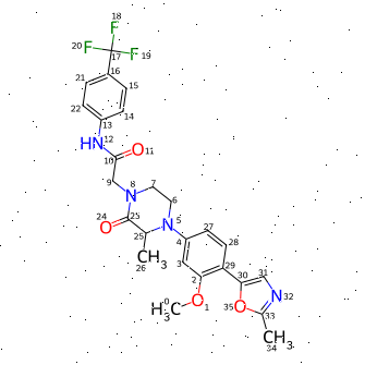 COc1cc(N2CCN(CC(=O)Nc3ccc(C(F)(F)F)cc3)C(=O)C2C)ccc1-c1cnc(C)o1